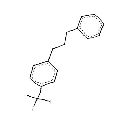 FC(F)(F)c1ccc(CCCc2ccccc2)cc1